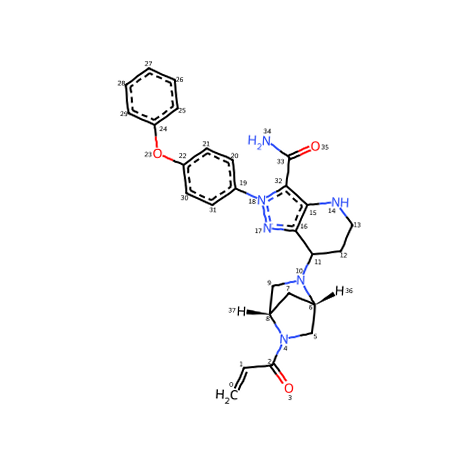 C=CC(=O)N1C[C@@H]2C[C@H]1CN2C1CCNc2c1nn(-c1ccc(Oc3ccccc3)cc1)c2C(N)=O